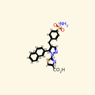 NS(=O)(=O)c1ccc(Cc2cnn(-c3nc(C(=O)O)cs3)c2-c2ccc3ccccc3c2)cc1